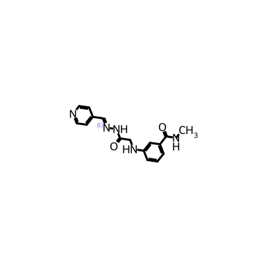 CNC(=O)c1cccc(NCC(=O)N/N=C/c2ccncc2)c1